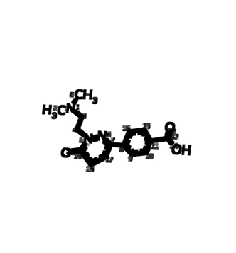 CN(C)CCn1nc(-c2ccc(C(=O)O)cc2)ccc1=O